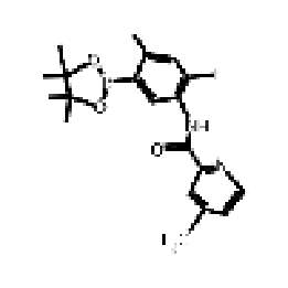 Cc1cc(F)c(NC(=O)c2cc(C(F)(F)F)ccn2)cc1B1OC(C)(C)C(C)(C)O1